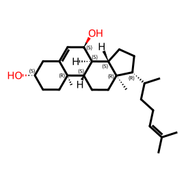 CC(C)=CCCC(C)[C@H]1CC[C@H]2[C@@H]3[C@H](O)C=C4C[C@@H](O)CC[C@]4(C)[C@H]3CC[C@]12C